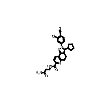 N#Cc1ccc(N2N=C3c4ccc(C(=O)NCCC(N)=O)nc4CCC3C2C2CCCC2)cc1Cl